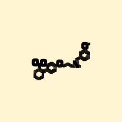 COc1cccc(CN(C)CCCOc2ccc3c4c(c(=O)oc3c2)CCCC4)c1